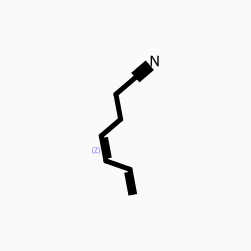 C=C/C=C\CCC#N